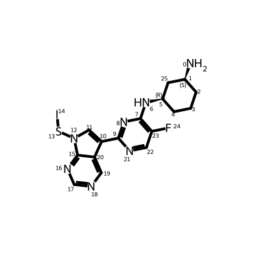 N[C@H]1CCC[C@@H](Nc2nc(-c3cn(SI)c4ncncc34)ncc2F)C1